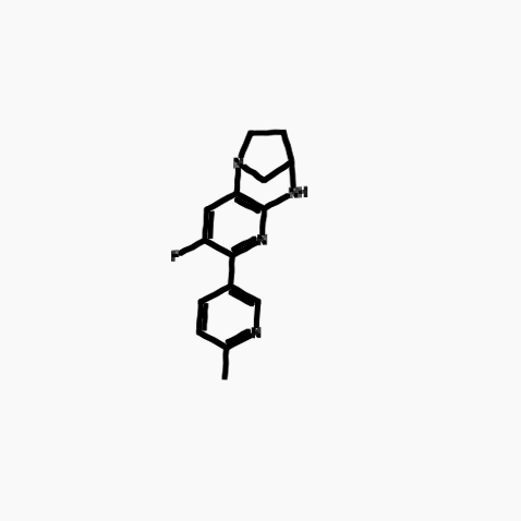 Cc1ccc(-c2nc3c(cc2F)N2CCC(C2)N3)cn1